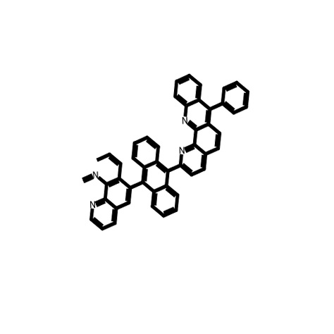 C=Nc1c(/C=C\C)c(-c2c3ccccc3c(-c3ccc4ccc5c(-c6ccccc6)c6ccccc6nc5c4n3)c3ccccc23)cc2cccnc12